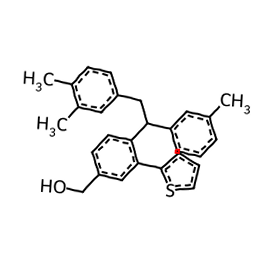 Cc1cccc(C(Cc2ccc(C)c(C)c2)c2ccc(CO)cc2-c2cccs2)c1